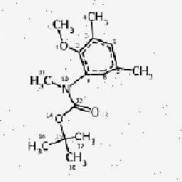 COc1c(C)cc(C)cc1N(C)C(=O)OC(C)(C)C